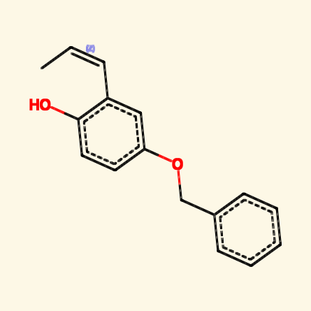 C/C=C\c1cc(OCc2ccccc2)ccc1O